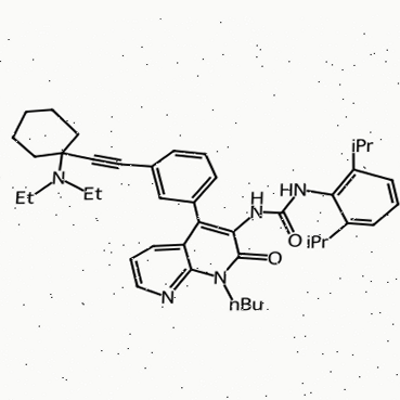 CCCCn1c(=O)c(NC(=O)Nc2c(C(C)C)cccc2C(C)C)c(-c2cccc(C#CC3(N(CC)CC)CCCCC3)c2)c2cccnc21